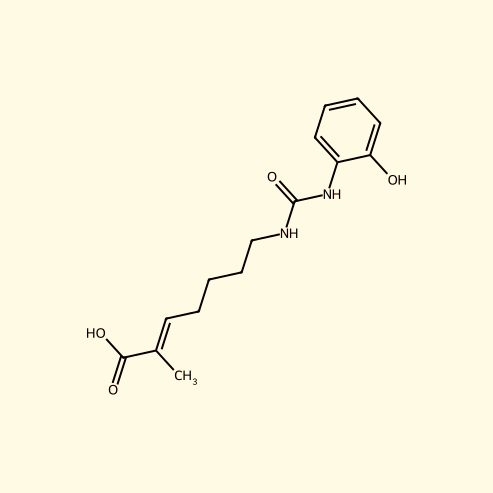 C/C(=C\CCCCNC(=O)Nc1ccccc1O)C(=O)O